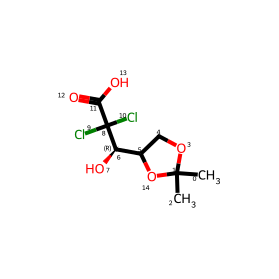 CC1(C)OCC([C@@H](O)C(Cl)(Cl)C(=O)O)O1